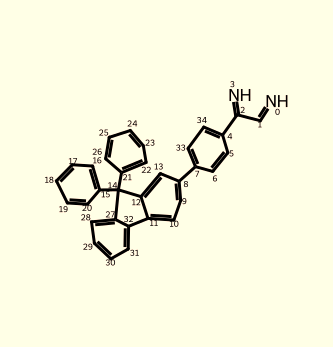 N=CC(=N)c1ccc(-c2ccc3c(c2)C(c2ccccc2)(c2ccccc2)c2ccccc2-3)cc1